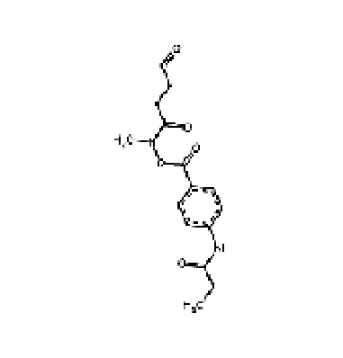 CCC(=O)Nc1ccc(C(=O)ON(C)C(=O)CCC=O)cc1